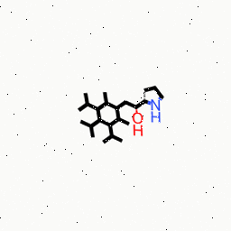 CC(C)C1C(C)C(C[C@@H](O)[C@@H]2CCCN2)C(C)C(C(C)C)C1C(C)C